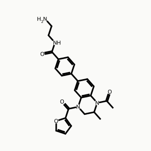 CC(=O)N1c2ccc(-c3ccc(C(=O)NCCN)cc3)cc2N(C(=O)c2ccco2)CC1C